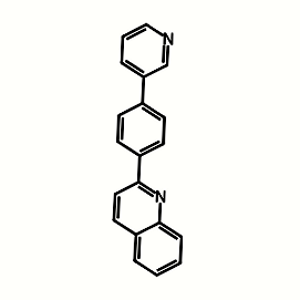 c1cncc(-c2ccc(-c3ccc4ccccc4n3)cc2)c1